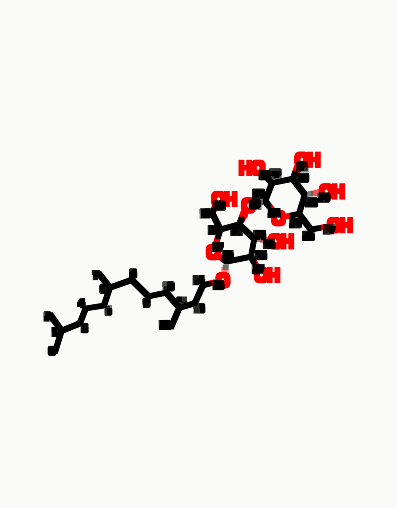 CC(C)CCCC(C)CCCC(C)CCO[C@@H]1OC(CO)[C@@H](O[C@H]2OC(CO)[C@@H](O)[C@H](O)C2O)[C@H](O)C1O